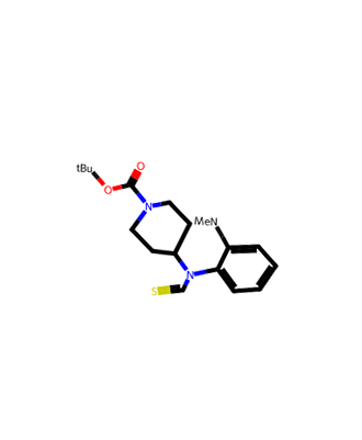 CNc1ccccc1N(C=S)C1CCN(C(=O)OC(C)(C)C)CC1